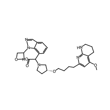 COc1cc(CCCCO[C@@H]2CCN(C(C(=O)O)c3cccc4cnn(C5COC5)c34)C2)nc2c1CCCN2